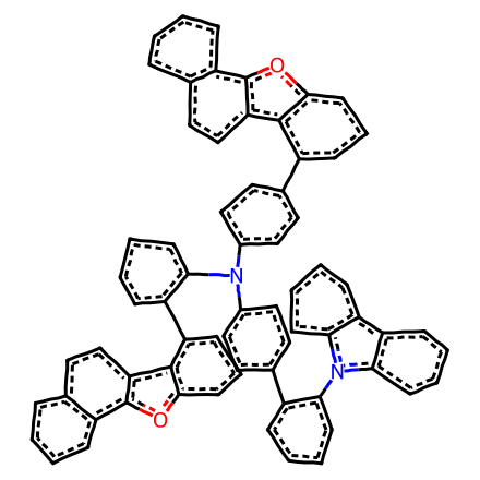 c1ccc(N(c2ccc(-c3ccccc3-n3c4ccccc4c4ccccc43)cc2)c2ccc(-c3cccc4oc5c6ccccc6ccc5c34)cc2)c(-c2cccc3oc4c5ccccc5ccc4c23)c1